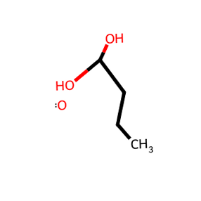 CCCC(O)O.[O]